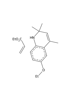 C=CC(=O)OCC.CCOc1ccc2c(c1)C(C)=CC(C)(C)N2